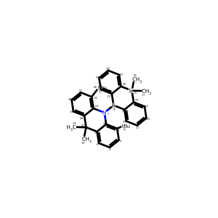 CC(C)(C)c1cccc2c1N(B1c3ccccc3[Si](C)(C)c3ccccc31)c1c(C(C)(C)C)cccc1C2(C)C